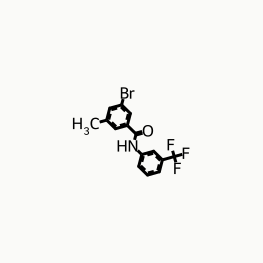 Cc1cc(Br)cc(C(=O)Nc2cccc(C(F)(F)F)c2)c1